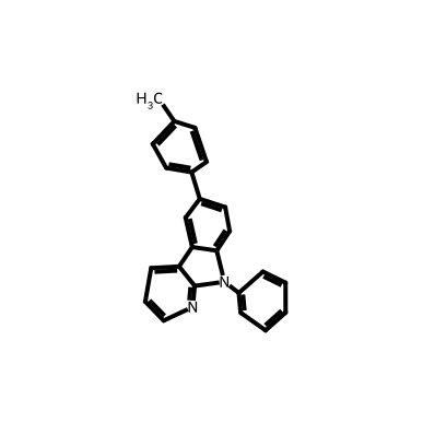 Cc1ccc(-c2ccc3c(c2)c2cccnc2n3-c2ccccc2)cc1